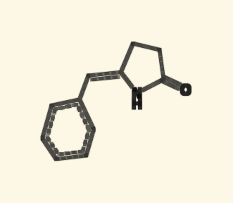 O=C1CCC(=Cc2ccccc2)N1